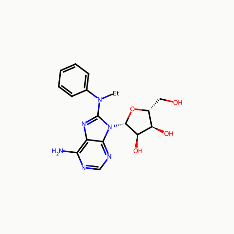 CCN(c1ccccc1)c1nc2c(N)ncnc2n1[C@@H]1O[C@H](CO)[C@@H](O)[C@H]1O